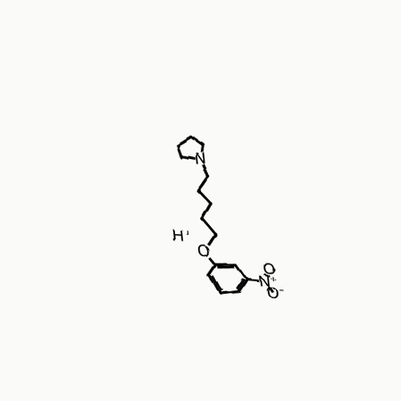 O=[N+]([O-])c1cccc(OCCCCCN2CCCC2)c1.[H+]